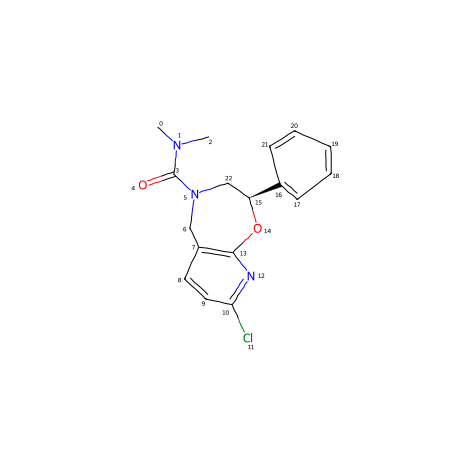 CN(C)C(=O)N1Cc2ccc(Cl)nc2O[C@H](c2ccccc2)C1